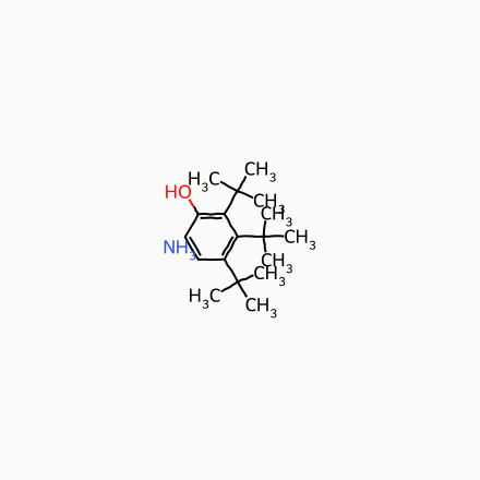 CC(C)(C)c1ccc(O)c(C(C)(C)C)c1C(C)(C)C.N